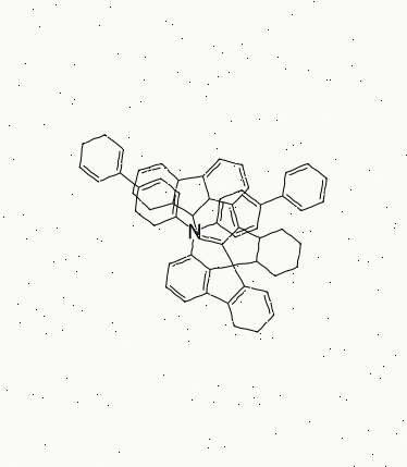 C1=CC2=C3C(=CC4C2C(=C1)C1C=CCCC14)C1(C2=C(CCC=C2)c2cccc(N(C4=CC=C(C5=CCCC=C5)CC4)c4ccc(-c5ccccc5)cc4)c21)C1CCCCC31